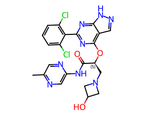 Cc1cnc(NC(=O)[C@H](CN2CC(O)C2)Oc2nc(-c3c(Cl)cccc3Cl)nc3[nH]ncc23)cn1